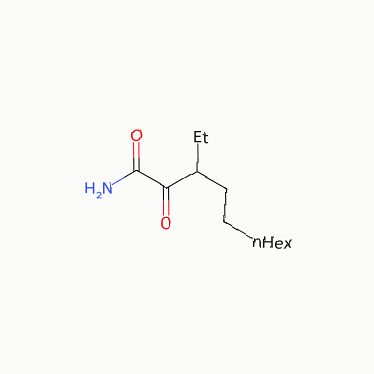 CCCCCCCCC(CC)C(=O)C(N)=O